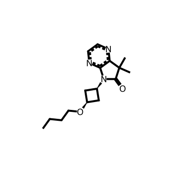 CCCCO[C@H]1C[C@@H](N2C(=O)C(C)(C)c3nccnc32)C1